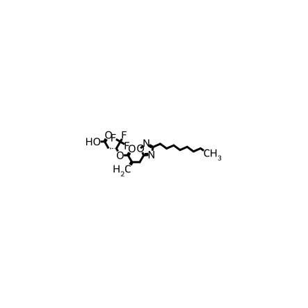 C=C(Cc1nc(CCCCCCCC)no1)C(=O)O[C@H](CC(=O)O)C(F)(F)F